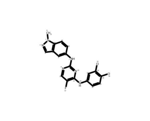 Cn1ncc2cc(Nc3ncc(F)c(Nc4ccc(Cl)c(Cl)c4)n3)ccc21